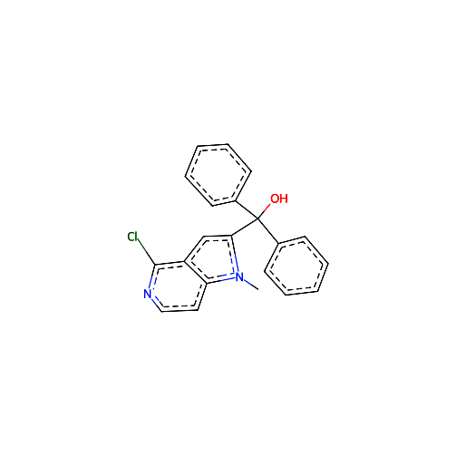 Cn1c(C(O)(c2ccccc2)c2ccccc2)cc2c(Cl)nccc21